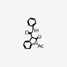 CC(=O)N1C(=O)C(C(=O)Nc2ccccc2)c2ccccc21